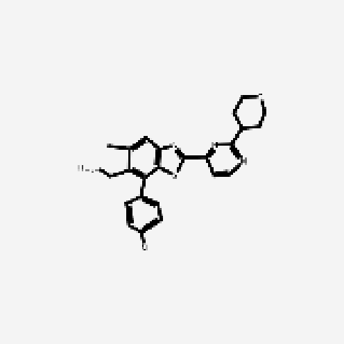 Cc1cc2nc(-c3ccnc(C4CCOCC4)n3)sc2c(-c2ccc(Cl)cc2)c1CC(=O)O